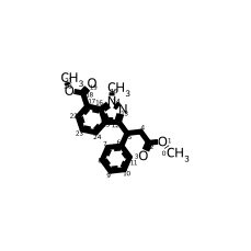 COC(=O)CC(c1ccccc1)c1nn(C)c2c(C(=O)OC)cccc12